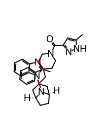 Cc1cc(C(=O)N2CCC(CCN3[C@@H]4CC[C@H]3C[C@@H](n3c(C)nc5ccccc53)C4)(c3ccccc3)CC2)n[nH]1